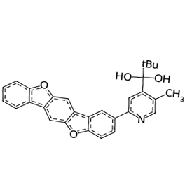 Cc1cnc(-c2ccc3oc4cc5c(cc4c3c2)oc2ccccc25)cc1C(O)(O)C(C)(C)C